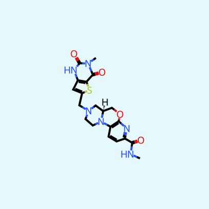 CNC(=O)c1ccc2c(n1)OC[C@@H]1CN(Cc3cc4[nH]c(=O)n(C)c(=O)c4s3)CCN21